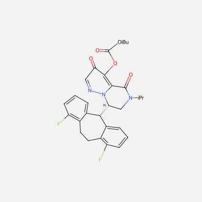 CC(C)COC(=O)Oc1c2n(ncc1=O)[C@@H](C1c3cccc(F)c3CCc3c(F)cccc31)CN(C(C)C)C2=O